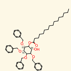 CCCCCCCCCCCCCCCC(=O)OC1[C@H](O)C(OCc2ccccc2)C(OCc2ccccc2)[C@H](OCc2ccccc2)[C@@H]1OCc1ccccc1